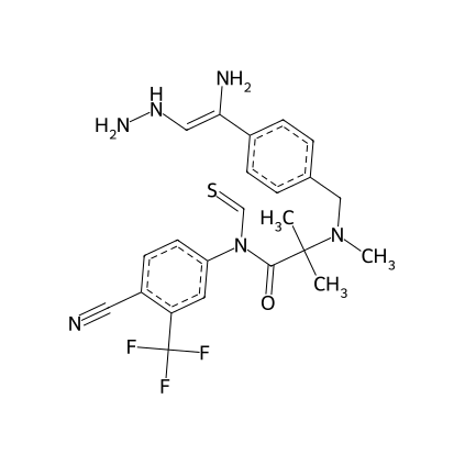 CN(Cc1ccc(/C(N)=C/NN)cc1)C(C)(C)C(=O)N(C=S)c1ccc(C#N)c(C(F)(F)F)c1